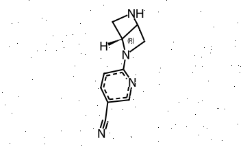 N#Cc1ccc(N2CC3NC[C@H]32)nc1